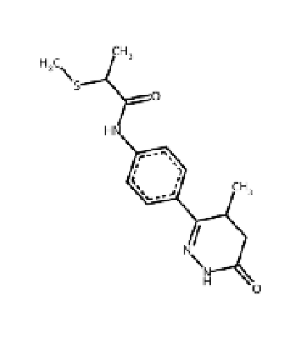 CSC(C)C(=O)Nc1ccc(C2=NNC(=O)CC2C)cc1